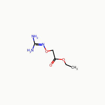 CCOC(=O)CON=C(N)N